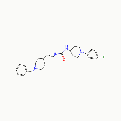 O=C(NCCC1CCN(Cc2ccccc2)CC1)NC1CCN(c2ccc(F)cc2)CC1